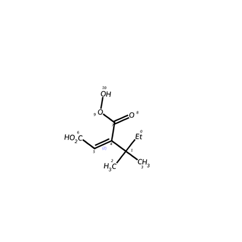 CCC(C)(C)/C(=C/C(=O)O)C(=O)OO